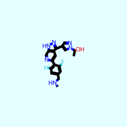 CNCc1cc(F)c(-c2cc3c(-c4cnn(C(C)O)c4)n[nH]c3cn2)c(F)c1